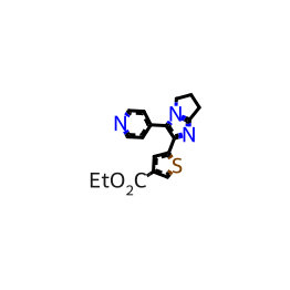 CCOC(=O)c1csc(-c2nc3n(c2-c2ccncc2)CCC3)c1